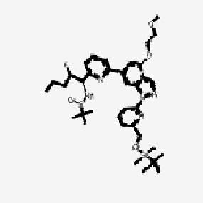 CCCC(F)[C@H](N[S@+]([O-])C(C)(C)C)c1cccc(-c2cc(OCCOC)c3cnn(-c4cccc(CO[Si](C)(C)C(C)(C)C)n4)c3c2)n1